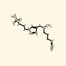 CN(CCCN=[N+]=[N-])Cc1cn(CCCS(=O)(=O)O)nn1